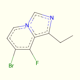 CCc1ncn2ccc(Br)c(F)c12